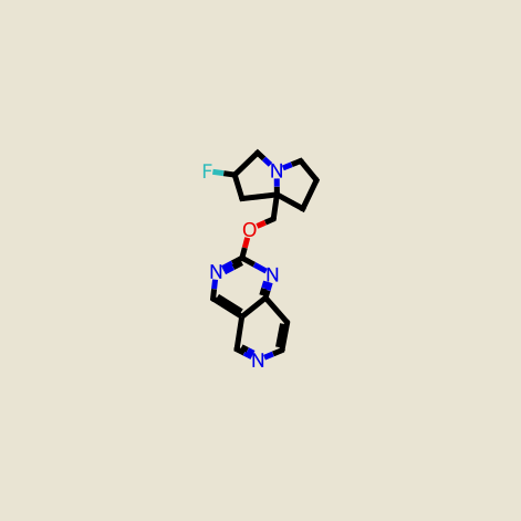 FC1CN2CCCC2(COc2ncc3cnccc3n2)C1